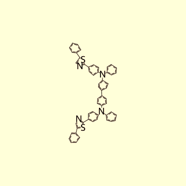 c1ccc(-c2cnc(-c3ccc(N(c4ccccc4)c4ccc(-c5ccc(N(c6ccccc6)c6ccc(-c7ncc(-c8ccccc8)s7)cc6)cc5)cc4)cc3)s2)cc1